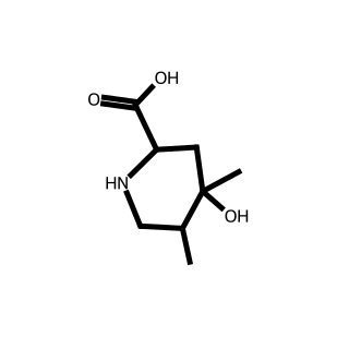 CC1CNC(C(=O)O)CC1(C)O